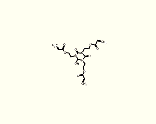 C=CC(=O)OCCN1C(=O)N(CCOC(=O)C=C)C(O)N(CCOC(=O)C=C)C1=O